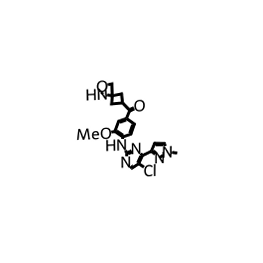 COc1cc(C(=O)C2CC3(CON3)C2)ccc1Nc1ncc(Cl)c(-c2ccn(C)n2)n1